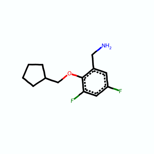 NCc1cc(F)cc(F)c1OCC1CCCC1